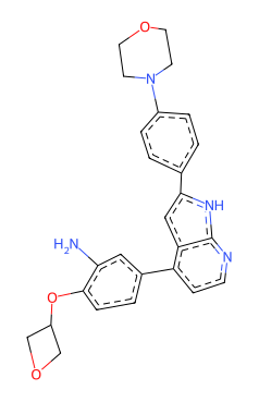 Nc1cc(-c2ccnc3[nH]c(-c4ccc(N5CCOCC5)cc4)cc23)ccc1OC1COC1